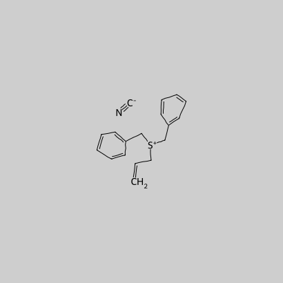 C=CC[S+](Cc1ccccc1)Cc1ccccc1.[C-]#N